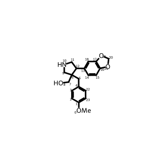 COc1ccc(CC2(CO)CNCC2c2ccc3c(c2)OCO3)cc1